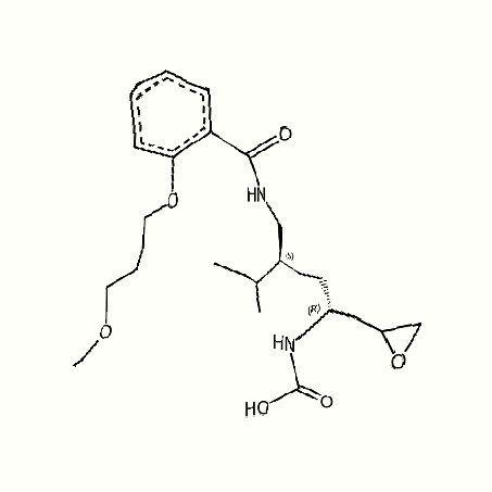 COCCCOc1ccccc1C(=O)NC[C@@H](C[C@@H](NC(=O)O)C1CO1)C(C)C